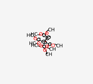 C#CCOc1ccc(C23CC4CC(C2)CC(C25CC6(c7ccc(OCC#C)cc7OCC#C)CC(c7ccc(OCC#C)cc7OCC#C)(CC(c7ccc(OCC#C)cc7OCC#C)(C6)C2)C5)(C4)C3)c(OCC#C)c1